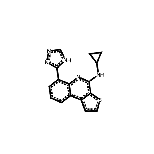 c1cc(-c2nnc[nH]2)c2nc(NC3CC3)c3sccc3c2c1